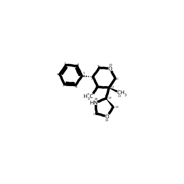 CC1[C@H](c2ccccc2)COC[C@]1(C)[C@H]1COCN1